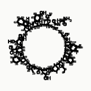 CCCC[C@H]1C(=O)N2CCC[C@@H]2C(=O)N[C@@H](CC(=O)O)C(=O)N[C@@H](C(C)C)C(=O)N(C)[C@@H](Cc2ccccc2)C(=O)N[C@@H](CCC(=O)O)C(=O)N2C[C@H](O)C[C@@H]2C(=O)N[C@@H](Cc2c[nH]c3ccccc23)C(=O)N[C@@H](Cc2ccc(O)cc2)C(=O)N[C@@H](CCOC)C(=O)N[C@H](C(=O)NCC(N)=O)CSCC(=O)N[C@@H](Cc2cc(F)c(F)c(F)c2)C(=O)N(C)[C@@H](Cc2ccccc2)C(=O)N1C